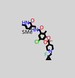 CSc1cc(C)[nH]c(=O)c1CNC(=O)c1cc(Cl)c2c(c1C)O[C@@](C)(C1CCN(CC3(F)CC3)CC1)O2